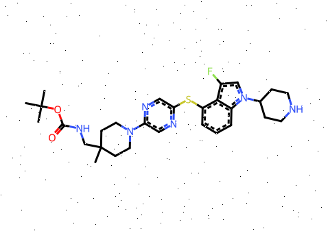 CC1(CNC(=O)OC(C)(C)C)CCN(c2cnc(Sc3cccc4c3c(F)cn4C3CCNCC3)cn2)CC1